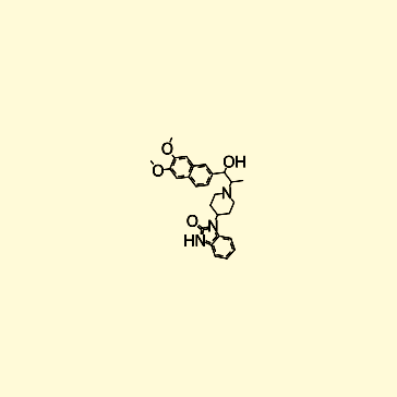 COc1cc2ccc(C(O)C(C)N3CCC(n4c(=O)[nH]c5ccccc54)CC3)cc2cc1OC